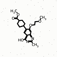 COCCOc1cc2nc(C)nc(O)c2cc1C1CCC(C(=O)OC)CC1